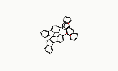 c1ccc(N(c2ccccc2)c2ccc3c(c2)C2(c4ccccc4-c4ccc(-n5c6ccccc6c6ccccc65)cc42)c2oc4ccccc4c2-3)cc1